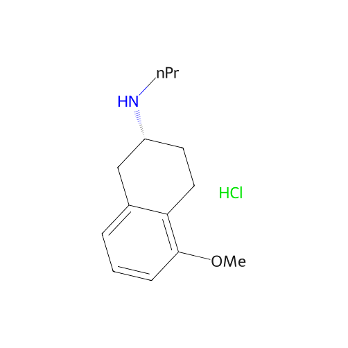 CCCN[C@@H]1CCc2c(cccc2OC)C1.Cl